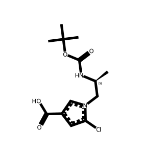 C[C@@H](Cn1cc(C(=O)O)cc1Cl)NC(=O)OC(C)(C)C